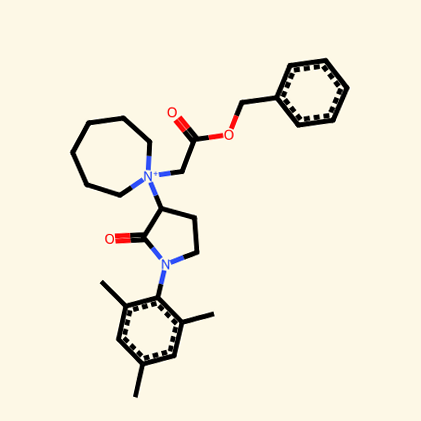 Cc1cc(C)c(N2CCC([N+]3(CC(=O)OCc4ccccc4)CCCCCC3)C2=O)c(C)c1